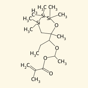 C=C(C)C(=O)OC(C)OC(CC)C1(C)C[Si](C)(C)[Si](C)(C)[Si](C)(C)O1